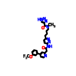 CN(CCCCc1ccc(NC(=O)Cc2cc(-c3cccc(OC(F)(F)F)c3)ccn2)nn1)C(=O)c1c[nH]nn1